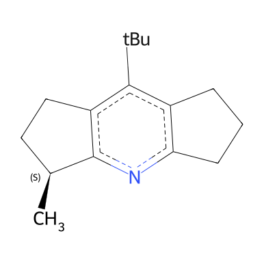 C[C@H]1CCc2c1nc1c(c2C(C)(C)C)CCC1